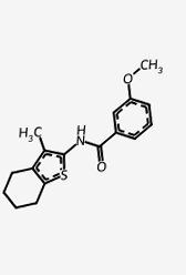 COc1cccc(C(=O)Nc2sc3c(c2C)CCCC3)c1